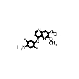 COc1cc2nccc(Oc3cc(F)c(N)cc3F)c2nc1OC